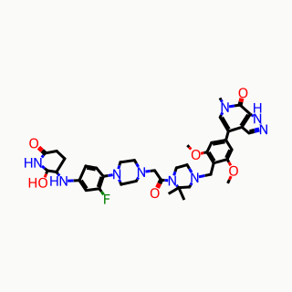 COc1cc(-c2cn(C)c(=O)c3[nH]ncc23)cc(OC)c1CN1CCN(C(=O)CN2CCN(c3ccc(NC4CCC(=O)NC4O)cc3F)CC2)C(C)(C)C1